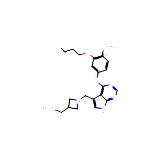 CNCC1CN(Cc2c[nH]c3ncnc(Nc4ccc(OC)c(OCCCC(=O)O)c4)c23)C1